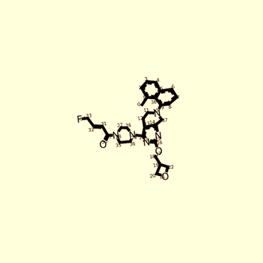 Cc1cccc2cccc(N3CCc4c(nc(OCC5COC5)nc4N4CCN(C(=O)/C=C/CF)CC4)C3)c12